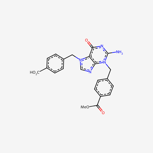 COC(=O)c1ccc(Cn2c(N)nc(=O)c3c2ncn3Cc2ccc(C(=O)O)cc2)cc1